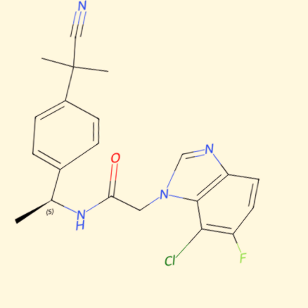 C[C@H](NC(=O)Cn1cnc2ccc(F)c(Cl)c21)c1ccc(C(C)(C)C#N)cc1